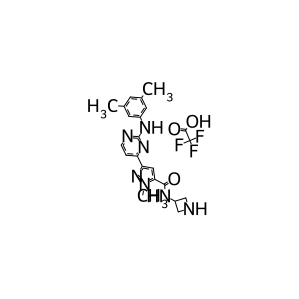 Cc1cc(C)cc(Nc2nccc(-c3cc(C(=O)NC4CNC4)n(C)n3)n2)c1.O=C(O)C(F)(F)F